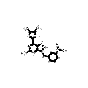 Cc1nc(-c2nc(N)nc3c2nnn3Cc2cccc([N+](=O)[O-])c2)sc1C